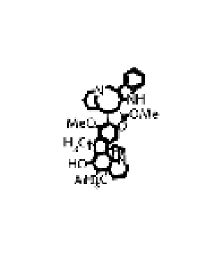 COC(=O)[C@H]1c2[nH]c3ccccc3c2C[N@]2CCCC(C2)[C@@H]1c1ccc2c(c1OC)N(C)C1=C(O)[C@H](OC(C)=O)[C@]3(C)C=CCN4CC[C@@]12[C@@H]43